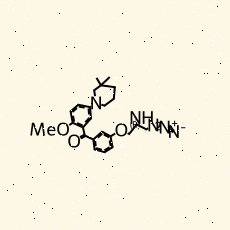 COc1ccc(N2CCCC(C)(C)C2)cc1C(=O)c1cccc(OC[C@H](N)CN=[N+]=[N-])c1